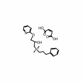 C[N+](C)(CCCc1ccccc1)CC(O)COc1ccccn1.O=C(O)/C=C\C(=O)O